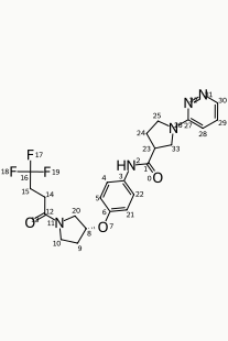 O=C(Nc1ccc(O[C@@H]2CCN(C(=O)CCC(F)(F)F)C2)cc1)C1CCN(c2cccnn2)C1